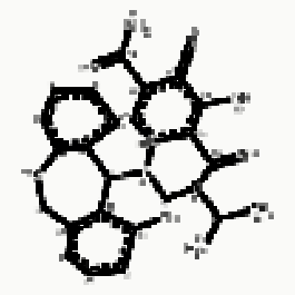 C[C@@H](N1CN([C@@H]2c3ccccc3SCc3cccc(Cl)c32)n2cc(C(N)=O)c(=O)c(O)c2C1=O)C(F)(F)F